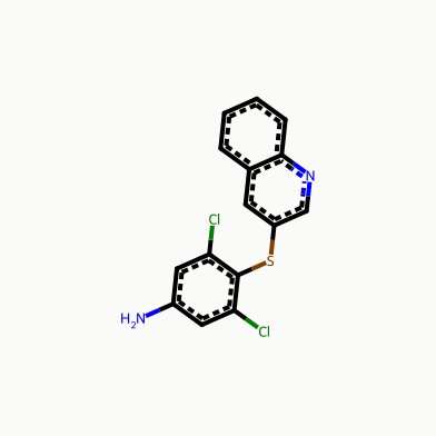 Nc1cc(Cl)c(Sc2cnc3ccccc3c2)c(Cl)c1